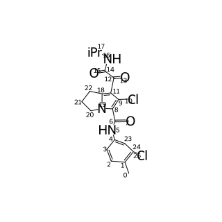 Cc1ccc(NC(=O)c2c(Cl)c(C(=O)C(=O)NC(C)C)c3n2CCC3)cc1Cl